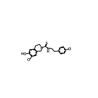 Oc1cc2c(cc1Cl)CN(C(=S)NCCc1ccc(Cl)cc1)CC2